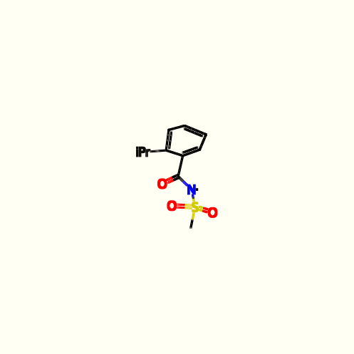 CC(C)c1ccccc1C(=O)[N]S(C)(=O)=O